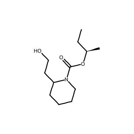 CC[C@@H](C)OC(=O)N1CCCCC1CCO